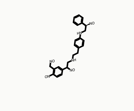 O=NCc1cc(C(CNCCc2ccc(NC[C@H](N=O)c3ccccc3)cc2)N=O)ccc1N=O